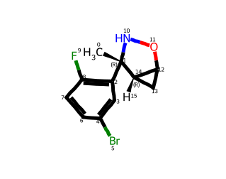 C[C@@]1(c2cc(Br)ccc2F)NOC2C[C@@H]21